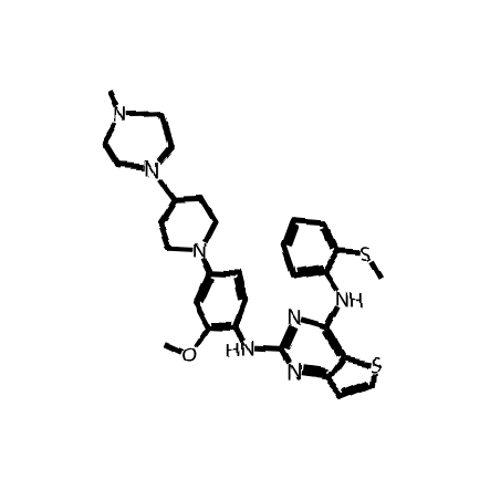 COc1cc(N2CCC(N3CCN(C)CC3)CC2)ccc1Nc1nc(Nc2ccccc2SC)c2sccc2n1